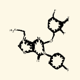 CCn1cnc2c(=O)n(-c3ccc(F)cc3)c(Oc3ccc(F)c(F)c3F)nc21